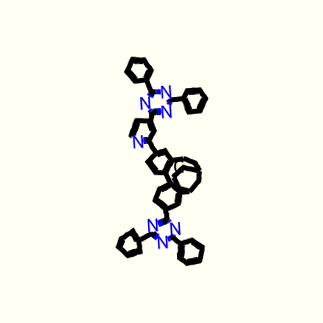 c1ccc(-c2nc(-c3ccccc3)nc(-c3ccnc(-c4ccc5c(c4)C4CC6CC(C4)CC(C6)c4cc(-c6nc(-c7ccccc7)nc(-c7ccccc7)n6)ccc4-5)c3)n2)cc1